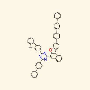 CC1(C)c2ccccc2-c2ccc(-c3nc(-c4ccc(-c5ccccc5)cc4)nc(-c4cc5ccccc5c5c4oc4cc(-c6ccc(-c7ccc(-c8ccccc8)cc7)cc6)ccc45)n3)cc21